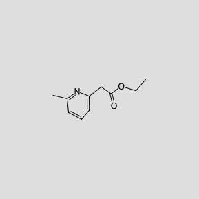 CCOC(=O)Cc1cccc(C)n1